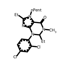 CCCCCn1c(CC)nc2c1C(=O)N(C)C(CC)N2c1ccc(Cl)cc1Cl